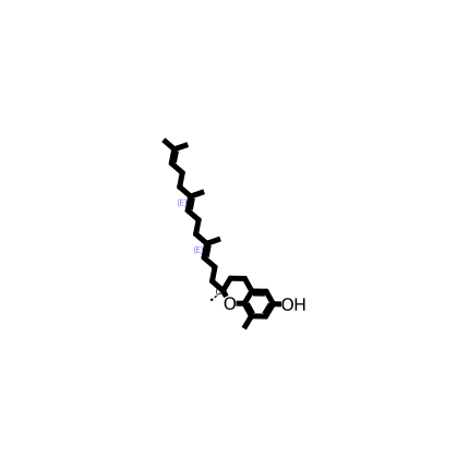 CC(C)=CCC/C(C)=C/CC/C(C)=C/CC[C@@]1(C)CCc2cc(O)cc(C)c2O1